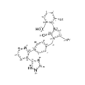 CCCc1cn(-c2c(CC)cccc2C(=O)O)c(=O)n1Cc1ccc(-c2ncccc2-c2nnn[nH]2)cc1